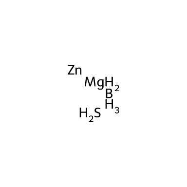 B.S.[MgH2].[Zn]